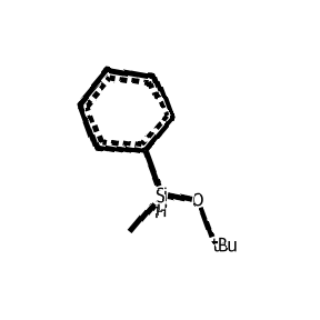 C[SiH](OC(C)(C)C)c1ccccc1